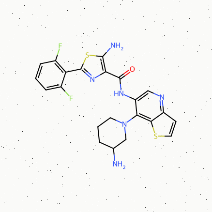 Nc1sc(-c2c(F)cccc2F)nc1C(=O)Nc1cnc2ccsc2c1N1CCCC(N)C1